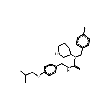 C=C(NCc1ccc(OCC(C)C)cc1)N(Cc1ccc(F)cc1)[C@@H]1CCCNC1